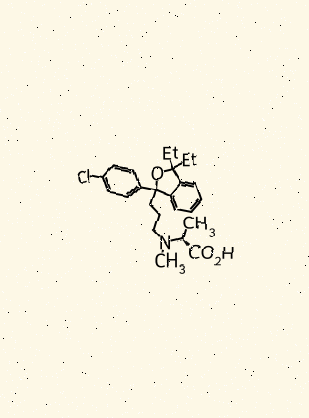 CCC1(CC)OC(CCCN(C)[C@@H](C)C(=O)O)(c2ccc(Cl)cc2)c2ccccc21